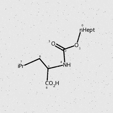 CCCCCCCOC(=O)NC(CC(C)C)C(=O)O